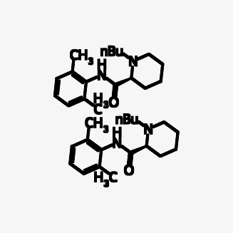 CCCCN1CCCC[C@H]1C(=O)Nc1c(C)cccc1C.CCCCN1CCCC[C@H]1C(=O)Nc1c(C)cccc1C